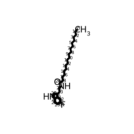 CCCCCCCCCCCCCCCCCCCC(=O)NCCc1c[nH]c2ccc(F)cc12